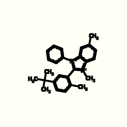 Cc1ccc2c(c1)n(-c1ccccc1)c(-c1cc(C(C)(C)C)ccc1C)[n+]2C